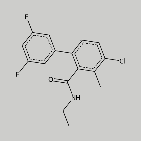 CCNC(=O)c1c(-c2cc(F)cc(F)c2)[c]cc(Cl)c1C